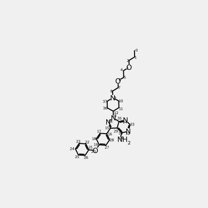 CCCOCCOCCN1CCC(n2nc(-c3ccc(Oc4ccccc4)cc3)c3c(N)ncnc32)CC1